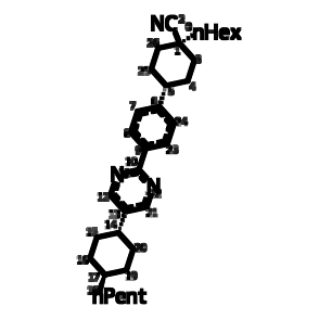 CCCCCC[C@]1(C#N)CC[C@H](c2ccc(-c3ncc([C@H]4CC[C@H](CCCCC)CC4)cn3)cc2)CC1